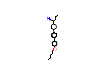 CCCCCOc1ccc(-c2ccc(C3CCC(C(C#N)CCC)CC3)cc2)cc1